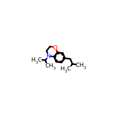 CC(C)Cc1ccc2c(c1)OCCN2C(C)C